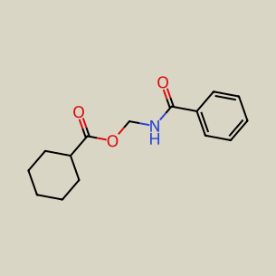 O=C(NCOC(=O)C1CCCCC1)c1ccccc1